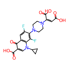 O=C(O)C=C(C(=O)O)N1CCN(c2c(F)cc3c(=O)c(C(=O)O)cn(C4CC4)c3c2F)CC1